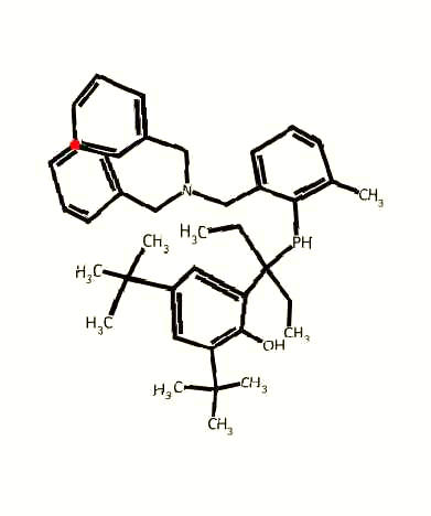 CCC(CC)(Pc1c(C)cccc1CN(Cc1ccccc1)Cc1ccccc1)c1cc(C(C)(C)C)cc(C(C)(C)C)c1O